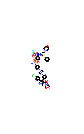 Cc1c(C(=O)N2CCOCC2)c(-c2cccc(N3CCN(c4ccc(NS(=O)(=O)c5ccc(N[C@H](CCN6CCC(O)CC6)CSc6ccccc6)c(S(=O)(=O)C(F)(F)F)c5)cc4)CC3)c2)c(-c2ccc(Cl)cc2)n1C